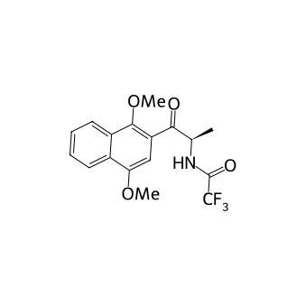 COc1cc(C(=O)[C@@H](C)NC(=O)C(F)(F)F)c(OC)c2ccccc12